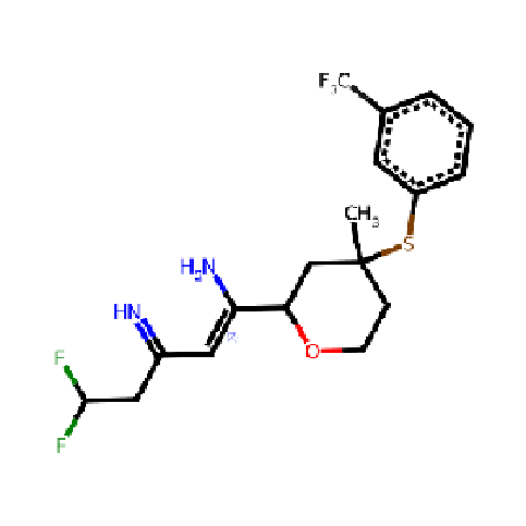 CC1(Sc2cccc(C(F)(F)F)c2)CCOC(/C(N)=C/C(=N)CC(F)F)C1